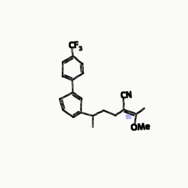 CO/C(C)=C(/C#N)CCC(C)c1cccc(-c2ccc(C(F)(F)F)cc2)c1